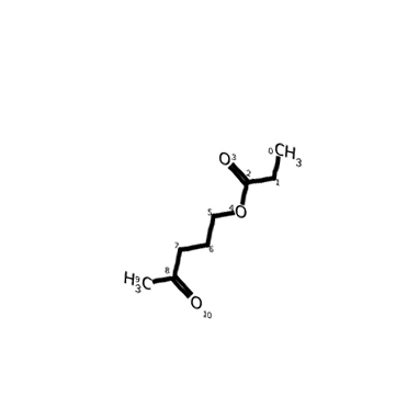 CCC(=O)OCCCC(C)=O